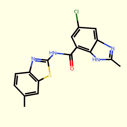 Cc1ccc2nc(NC(=O)c3cc(Cl)cc4nc(C)[nH]c34)sc2c1